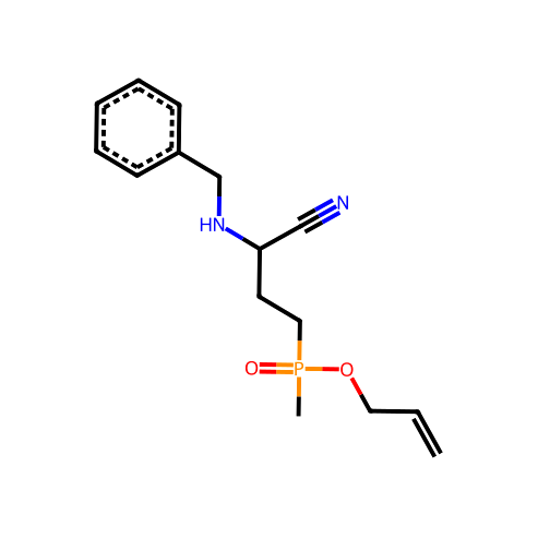 C=CCOP(C)(=O)CCC(C#N)NCc1ccccc1